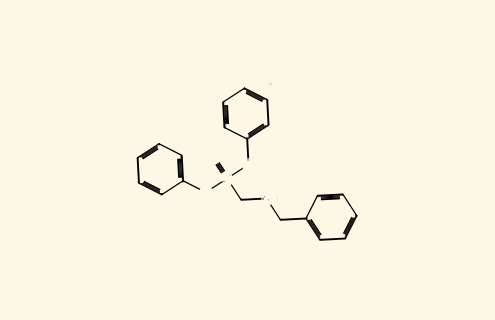 Cl.O=P(CNCc1ccccc1)(Oc1ccccc1)Oc1ccccc1